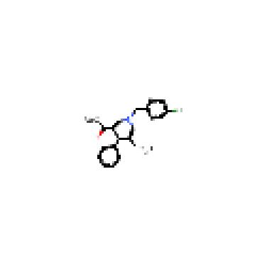 COC(=O)C1=CN(Cc2ccc(Cl)cc2)C=C(C(=O)O)C1c1ccccc1